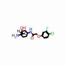 NC12CCC(NC(=O)COc3ccc(Cl)c(F)c3)(CC1)C[C@H]2O